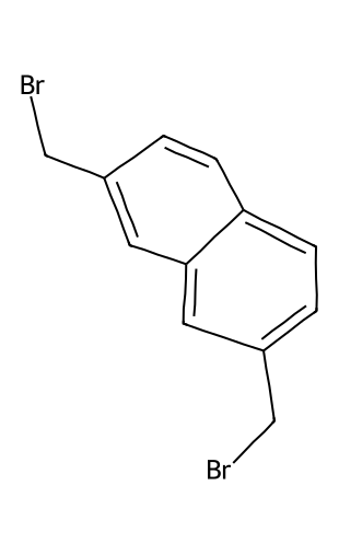 BrCc1ccc2ccc(CBr)cc2c1